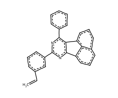 C=Cc1cccc(-c2nc(-c3ccccc3)c3c(n2)-c2cccc4cccc-3c24)c1